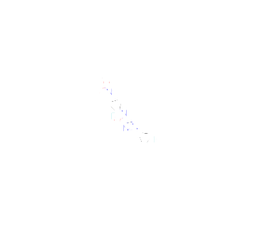 CC(C)(C)OC(=O)N1CCc2cc(NC(=O)c3cn(Cc4ccc(F)c(F)c4)cn3)c(F)cc2C1